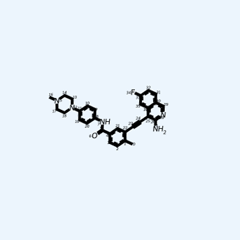 Cc1ccc(C(=O)Nc2ccc(N3CCN(C)CC3)cc2)cc1C#Cc1c(N)ncc2ccc(F)cc12